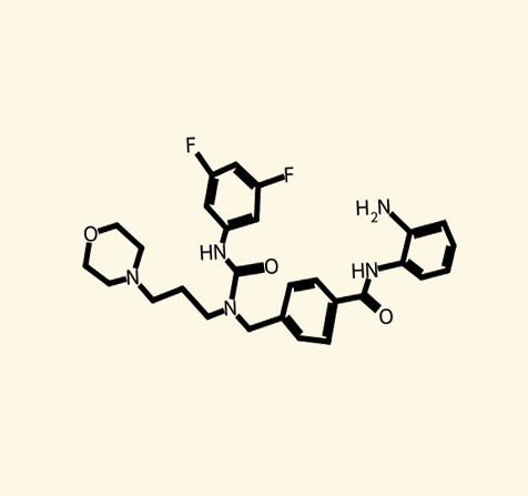 Nc1ccccc1NC(=O)c1ccc(CN(CCCN2CCOCC2)C(=O)Nc2cc(F)cc(F)c2)cc1